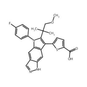 COCC(C)(C)c1c(-c2ccc(C(=O)O)s2)c2cc3[nH]ncc3cc2n1-c1ccc(F)cc1